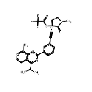 CC(C)c1nc(-c2cccc(C#C[C@]3(OC(=O)C(F)(F)F)CCN(C)C3=O)c2)nc2c(N)nccc12